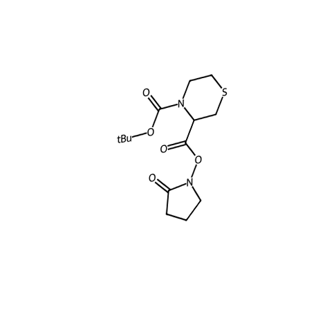 CC(C)(C)OC(=O)N1CCSCC1C(=O)ON1CCCC1=O